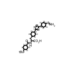 CC(C)(C)c1ccc(C(=O)NC(Cc2ccc(-c3noc(-c4ccc(SN)cc4)n3)cc2)C(=O)O)cc1